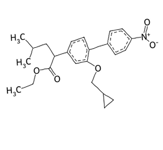 CCOC(=O)C(CC(C)C)c1ccc(-c2ccc([N+](=O)[O-])cc2)c(OCC2CC2)c1